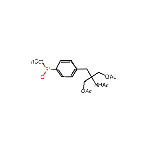 CCCCCCCC[S+]([O-])c1ccc(CC(COC(C)=O)(COC(C)=O)NC(C)=O)cc1